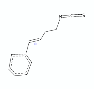 S=C=NCC/C=C/c1ccccc1